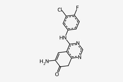 NC1=Cc2c(ncnc2Nc2ccc(F)c(Cl)c2)CC1=O